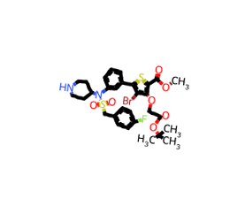 COC(=O)c1sc(-c2cccc(N(C3CCNCC3)S(=O)(=O)Cc3ccc(F)cc3)c2)c(Br)c1OCC(=O)OC(C)(C)C